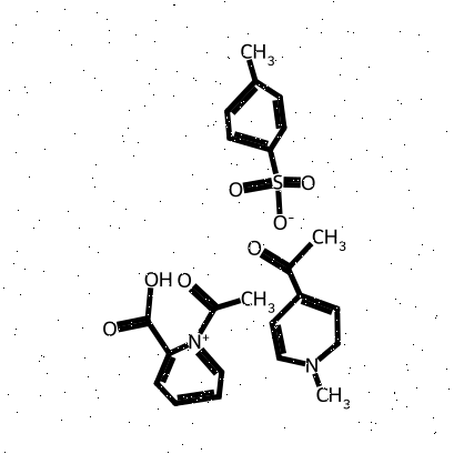 CC(=O)C1=CCN(C)C=C1.CC(=O)[n+]1ccccc1C(=O)O.Cc1ccc(S(=O)(=O)[O-])cc1